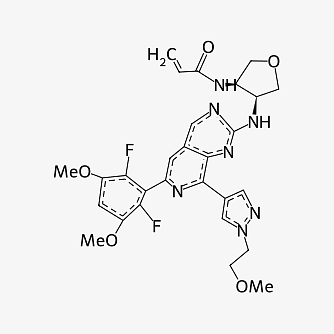 C=CC(=O)N[C@H]1COC[C@H]1Nc1ncc2cc(-c3c(F)c(OC)cc(OC)c3F)nc(-c3cnn(CCOC)c3)c2n1